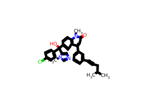 CC(C)CC#Cc1cccc(-c2cc(=O)n(C)c3ccc(C(O)(c4ccc(Cl)cc4)c4cncn4C)cc23)c1